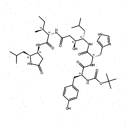 CC[C@H](C)[C@H](NC(=O)C[C@H](O)[C@H](CC(C)C)NC(=O)[C@H](Cc1c[nH]cn1)NC(=O)[C@H](Cc1ccc(O)cc1)NC(=O)OC(C)(C)C)C(=O)N[C@H]1CC(=O)N[C@H]1CC(C)C